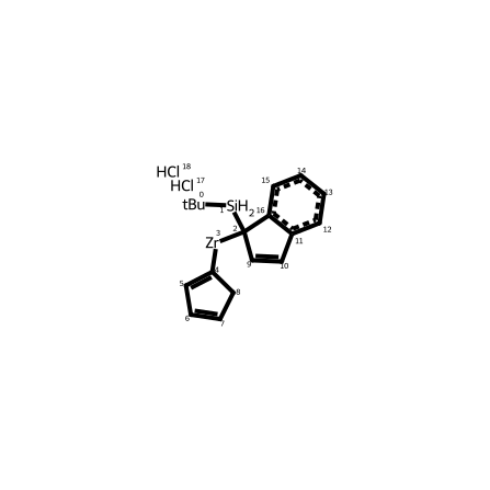 CC(C)(C)[SiH2][C]1([Zr][C]2=CC=CC2)C=Cc2ccccc21.Cl.Cl